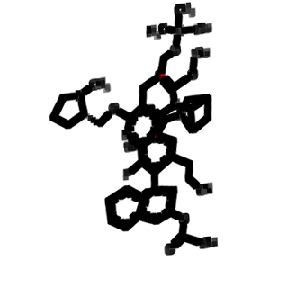 CN1CCC[C@H]1COc1nc2c(F)c(-c3cc(OC(=O)C(C)(C)C)cc4ccccc34)c(CCC#N)cc2c(N(C(=O)OC(C)(C)C)C2C3CC2N(C(=O)OC(C)(C)C)C3)c1CCCO[Si](C)(C)C(C)(C)C